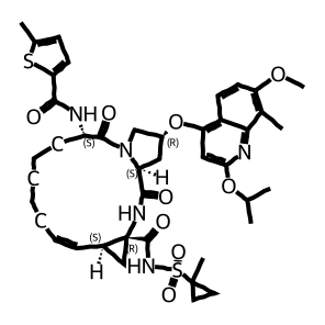 COc1ccc2c(O[C@@H]3C[C@H]4C(=O)N[C@]5(C(=O)NS(=O)(=O)C6(C)CC6)C[C@H]5C=CCCCCC[C@H](NC(=O)c5ccc(C)s5)C(=O)N4C3)cc(OC(C)C)nc2c1C